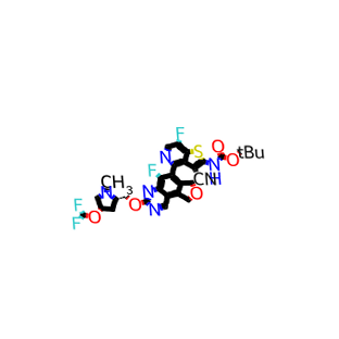 CN1CC(OC(F)F)C[C@H]1COc1ncc2c3c(c(-c4ncc(F)c5sc(NC(=O)OC(C)(C)C)c(C#N)c45)c(F)c2n1)COC3